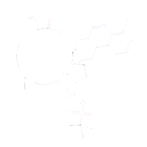 Cc1nc2c(F)cccc2c2c1O[C@@]1(CCC(=O)[C@@H](NC(=O)O)CCCCC3=C(C3)/N=C\[C@@H]3[C@@H](C(=O)NS(=O)(=O)C4(C)CC4)CC(=O)N31)CC2